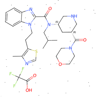 Cc1ncsc1CCn1c(C(=O)N(CC(C)C)[C@@H]2CNC[C@H](C(=O)N3CCOCC3)C2)nc2ccccc21.O=C(O)C(F)(F)F